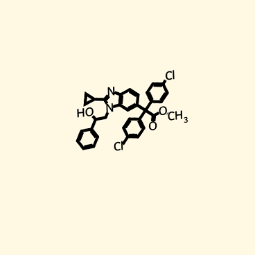 COC(=O)C(c1ccc(Cl)cc1)(c1ccc(Cl)cc1)c1ccc2nc(C3CC3)n(CC(O)c3ccccc3)c2c1